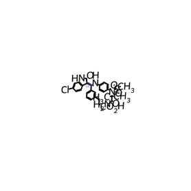 CC(C)(C(N)=O)N(c1ccc(N/C(=C2\C(=O)Nc3cc(Cl)ccc32)c2cccc(CCC(=O)O)c2)cc1)S(C)(=O)=O